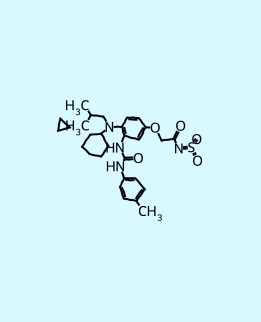 C1CC1.Cc1ccc(NC(=O)Nc2cc(OCC(=O)N=S(=O)=O)ccc2N(CC(C)C)C2CCCCC2)cc1